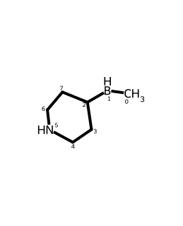 CBC1CCNCC1